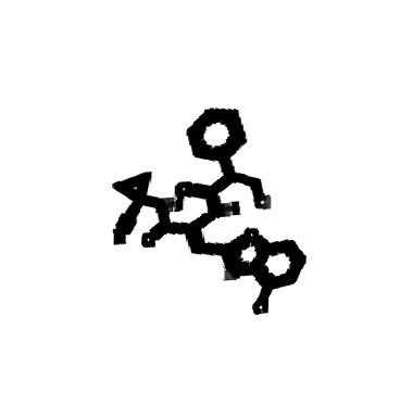 N#CC1(NC(=O)C(Cc2nc3c(Cl)cccc3o2)NC(=O)C(CCl)c2ccccc2)CC1